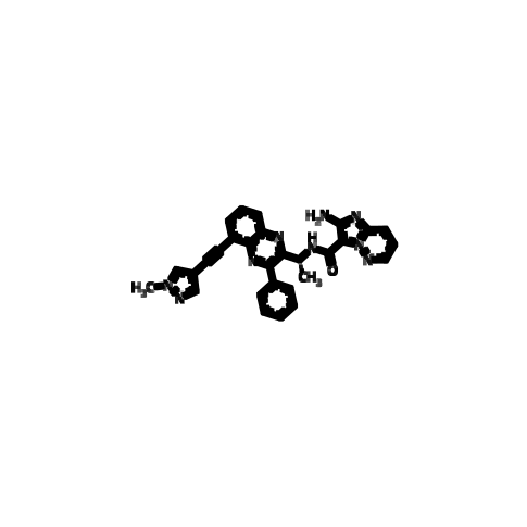 C[C@@H](NC(=O)c1c(N)nc2cccnn12)c1nc2cccc(C#Cc3cnn(C)c3)c2nc1-c1ccccc1